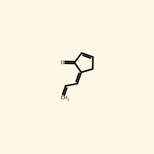 C=CC=C1CC=CC1=O